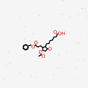 CC(=O)OC1CC(=O)C(CCCCCCC(=O)O)C1CCC(=O)OCc1ccccc1